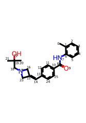 Cc1ccccc1NC(=O)c1ccc(C=C2CN(CC(C)(C)O)C2)cc1